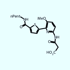 CCCCCNC(=O)c1ccc(-c2nc(NC(=O)CC(=O)O)ccc2OC)s1